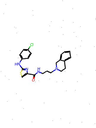 O=C(NCCCN1CCc2ccccc2C1)c1csc(Nc2ccc(Cl)cc2)n1